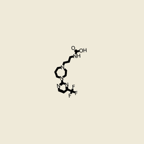 O=C(O)NCCCN1CCCN(c2nccc(C(F)(F)F)n2)CC1